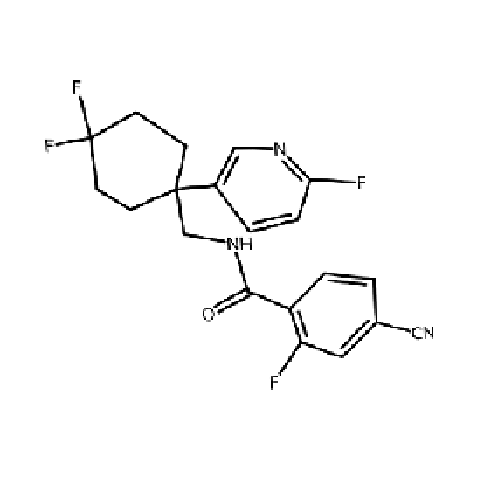 N#Cc1ccc(C(=O)NCC2(c3ccc(F)nc3)CCC(F)(F)CC2)c(F)c1